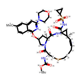 COc1ccc2c(OC3C[C@H]4C(=O)N[C@]5(C(=O)NS(=O)(=O)C6CC6)C[C@H]5/C=C\CCCSC[C@H](NC(=O)OC(C)(C)C)C(=O)N4C3)nc(N3CCOCC3)cc2c1